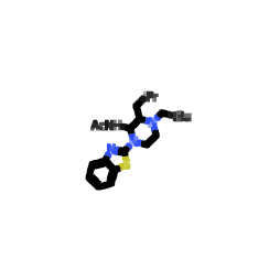 CC(=O)NC1C(CC(C)C)N(CC(C)(C)C)CCN1c1nc2ccccc2s1